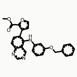 COC(=O)c1occc1-c1ccc2ncncc2c1Nc1cccc(OCc2ccccc2)c1